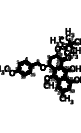 COc1ccc(CO[C@H]2C[C@H](O[Si](C)(C)C(C)(C)C)C(=O)c3c2c(OC)c2cc(C)cc(O)c2c3O)cc1